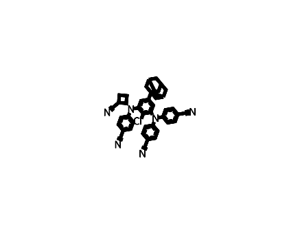 N#Cc1ccc(N(c2ccc(C#N)cc2)c2cc(C34CC5CC(CC(C5)C3)C4)cc(N(c3ccc(C#N)cc3)[C@H]3CCC3C#N)c2Cl)cc1